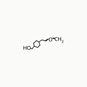 C=COC=CCC1CCC(CO)CC1